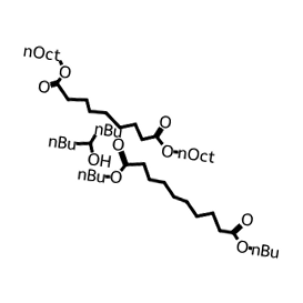 CCCCC(O)CCCC.CCCCCCCCOC(=O)CCCCCCCC(=O)OCCCCCCCC.CCCCOC(=O)CCCCCCCCC(=O)OCCCC